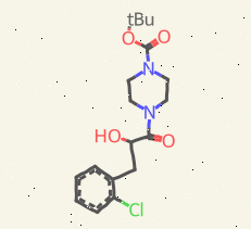 CC(C)(C)OC(=O)N1CCN(C(=O)C(O)Cc2ccccc2Cl)CC1